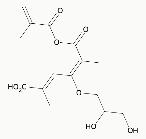 C=C(C)C(=O)OC(=O)C(C)=C(C=C(C)C(=O)O)OCC(O)CO